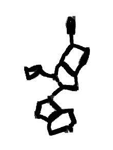 N#Cc1ccc2nc(-n3cnc4cnccc43)n(C3CC3)c2c1